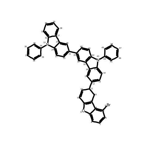 Brc1cccc2oc3c(c12)CC(c1ccc2c(c1)c1cc(-c4ccc5c(c4)c4ccccc4n5-c4ccccc4)ccc1n2-c1ccccc1)C=C3